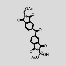 CC(=O)OCN1C(=O)c2ccc(C(=O)c3ccc4c(c3)C(=O)N([C@@H](O)OC(C)=O)C4=O)cc2C1=O